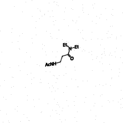 CCN(CC)C(=O)CCNC(C)=O